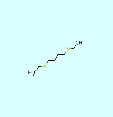 CCSCCCCSCC